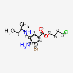 CCC(C)NCc1cc(C(=O)OCCCCCl)cc(Br)c1N